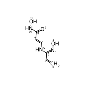 C=CC(=NO)NC=CC(=O)NO